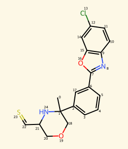 CC1(c2cccc(-c3nc4ccc(Cl)cc4o3)c2)COCC(C=S)N1